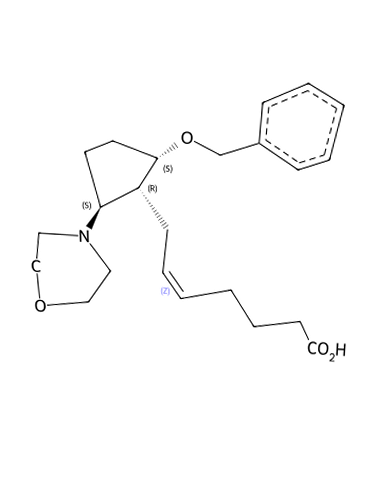 O=C(O)CCC/C=C\C[C@H]1[C@@H](OCc2ccccc2)CC[C@@H]1N1CCOCC1